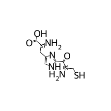 N[C@@H](Cc1c[nH]c(C(=O)[C@@H](N)CS)n1)C(=O)O